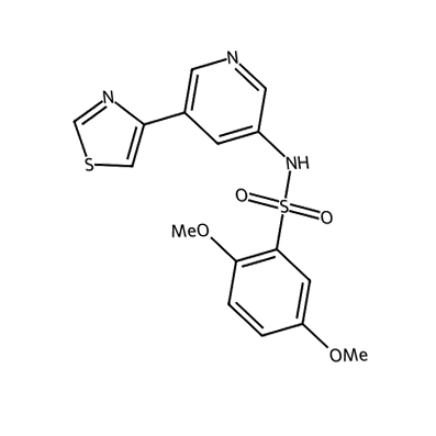 COc1ccc(OC)c(S(=O)(=O)Nc2cncc(-c3cscn3)c2)c1